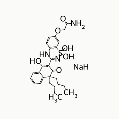 CCCCC1(CCCC)C(=O)C(C2=NS(O)(O)c3cc(OCC(N)=O)ccc3N2)=C(O)c2ccccc21.[NaH]